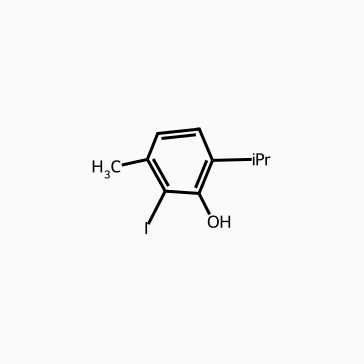 Cc1ccc(C(C)C)c(O)c1I